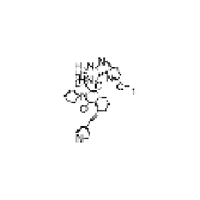 Cc1ccc2cnc(N)c(C(=O)N[C@@H](C)c3cc4cccc(C#Cc5ccncc5)c4c(=O)n3-c3ccccc3)c2n1